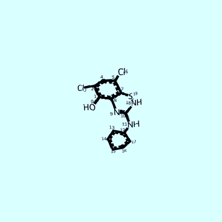 Oc1c(Cl)cc(Cl)c2c1N=C(Nc1ccccc1)NS2